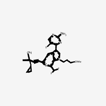 COCCCn1cc(-c2nc(N)ncc2F)c2cc(C#CC(C)(O)C3CC3)nc(C(F)F)c21